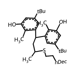 CCCCCCCCCCCCSC(C)CC(c1cc(C(C)(C)C)cc(O)c1C)c1cc(C(C)(C)C)cc(O)c1C